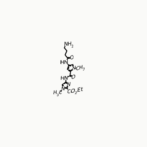 CCOC(=O)c1nc(NC(=O)c2cc(NC(=O)CCCN)cn2C)cn1C